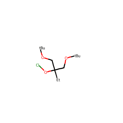 CCC(COC(C)(C)C)(COC(C)(C)C)OCl